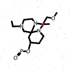 CCN1CCN(CCOC)C2(CC(OP=O)CCN2CC)C1